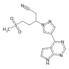 CS(=O)(=O)CCC(CC#N)n1cc(-c2ncnc3[nH]ccc23)cn1